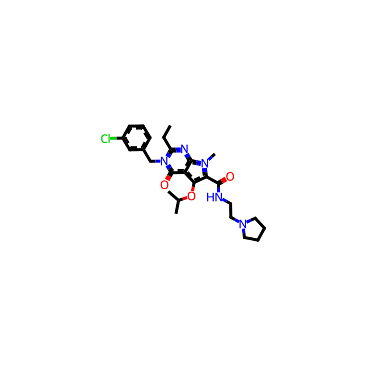 CCc1nc2c(c(OC(C)C)c(C(=O)NCCN3CCCC3)n2C)c(=O)n1Cc1cccc(Cl)c1